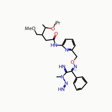 COCC(CC(=O)Nc1cccc(CO/N=C(\C(=N)N(C)N=N)c2ccccc2)n1)C(C)OC(C)C